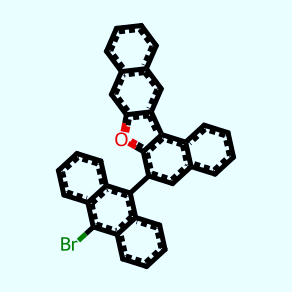 Brc1c2ccccc2c(-c2cc3ccccc3c3c2oc2cc4ccccc4cc23)c2ccccc12